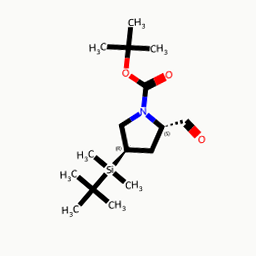 CC(C)(C)OC(=O)N1C[C@H]([Si](C)(C)C(C)(C)C)C[C@H]1C=O